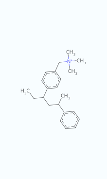 CCC(CC(C)c1ccccc1)c1ccc(C[N+](C)(C)C)cc1